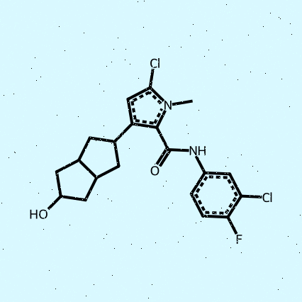 Cn1c(Cl)cc(C2CC3CC(O)CC3C2)c1C(=O)Nc1ccc(F)c(Cl)c1